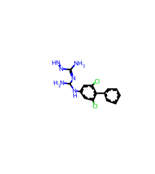 N=N/C(N)=N\C(N)Nc1cc(Cl)c(-c2ccccc2)c(Cl)c1